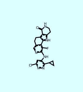 O=C1NCCc2[nH]c3c(c21)CCc1cnc(Nc2cc(Cl)nnc2C2CC2)c(F)c1-3